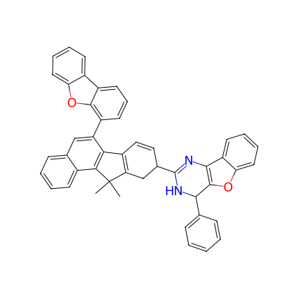 CC1(C)C2=C(C=CC(C3=Nc4c(oc5ccccc45)C(c4ccccc4)N3)C2)c2c(-c3cccc4c3oc3ccccc34)cc3ccccc3c21